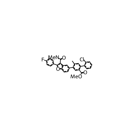 CNC(=O)c1c(-c2ccc(F)cc2)oc2ccc(-c3cc(C(=O)OC)c(-c4ccccc4Cl)cc3C)cc12